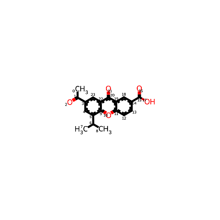 CC(=O)c1cc(C(C)C)c2oc3ccc(C(=O)O)cc3c(=O)c2c1